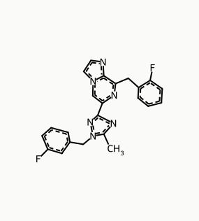 Cc1nc(-c2cn3ccnc3c(Cc3ccccc3F)n2)nn1Cc1cccc(F)c1